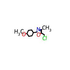 COC1CCC(c2nc(C)c(CCl)o2)CC1